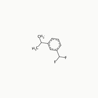 [CH2]C(C)c1cccc(C(F)F)c1